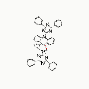 c1ccc(-c2nc(-c3ccccc3)nc(N3c4ccccc4C4(c5ccccc53)c3ccccc3N(c3nc(-c5ccccc5)nc(-c5ccccc5)n3)c3ccccc34)n2)cc1